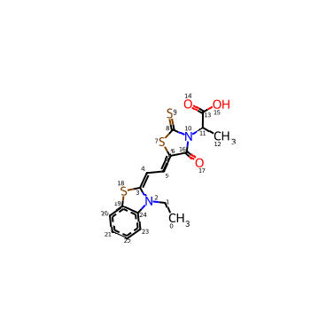 CCN1C(=CC=C2SC(=S)N(C(C)C(=O)O)C2=O)Sc2ccccc21